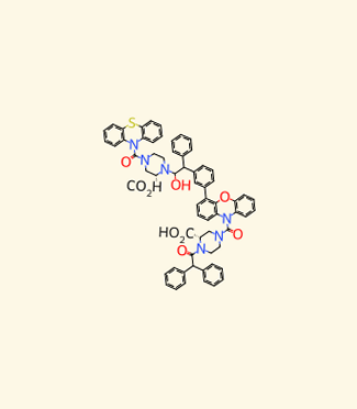 O=C(O)[C@@H]1CN(C(=O)N2c3ccccc3Oc3c(-c4cccc(C(c5ccccc5)C(O)N5CCN(C(=O)N6c7ccccc7Sc7ccccc76)C[C@H]5C(=O)O)c4)cccc32)CCN1C(=O)C(c1ccccc1)c1ccccc1